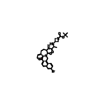 COc1ccc2cc(Br)ccc2c1CN1C(=O)C(NC(=O)C(C)NC2CN(C(=O)OC(C)(C)C)C2)CCc2ccccc21